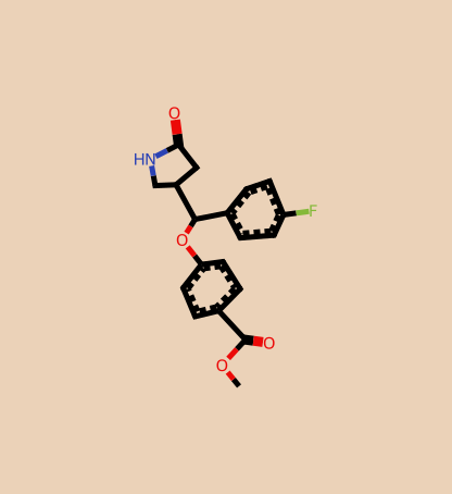 COC(=O)c1ccc(OC(c2ccc(F)cc2)C2CNC(=O)C2)cc1